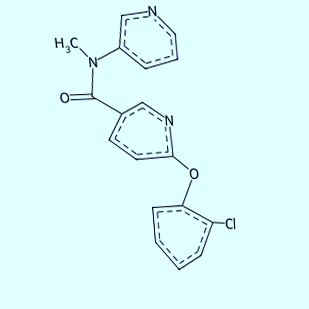 CN(C(=O)c1ccc(Oc2ccccc2Cl)nc1)c1cccnc1